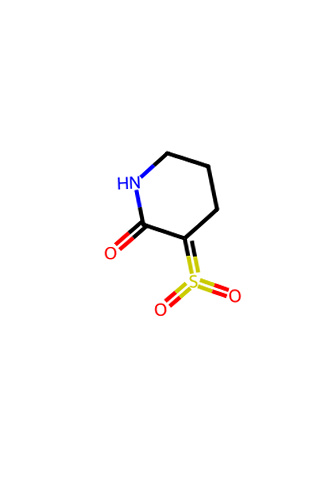 O=C1NCCCC1=S(=O)=O